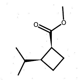 COC(=O)[C@H]1CC[C@H]1C(C)C